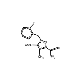 COc1c(C)c(C(=N)N)nn1Cc1ccccc1F